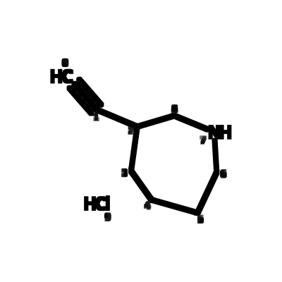 C#CC1CCCCNC1.Cl